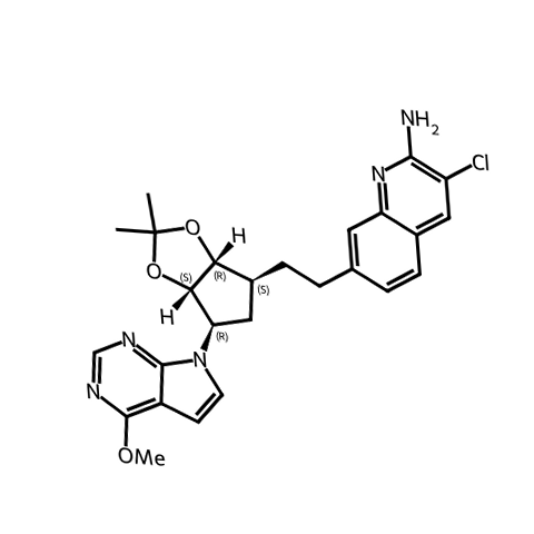 COc1ncnc2c1ccn2[C@@H]1C[C@H](CCc2ccc3cc(Cl)c(N)nc3c2)[C@H]2OC(C)(C)O[C@H]21